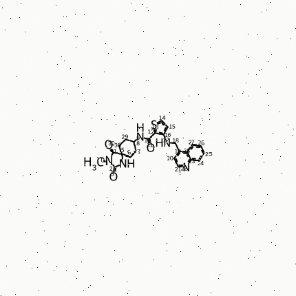 CN1C(=O)NC2(CCC(NC(=O)c3sccc3NCc3ccnc4ccccc34)CC2)C1=O